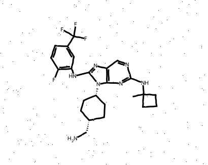 CC1(Nc2ncc3nc(Nc4cc(C(F)(F)F)ccc4F)n([C@H]4CC[C@@H](CN)CC4)c3n2)CCC1